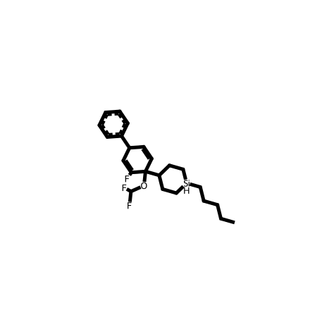 CCCCC[SiH]1CCC(C2(OC(F)F)C=CC(c3ccccc3)C=C2F)CC1